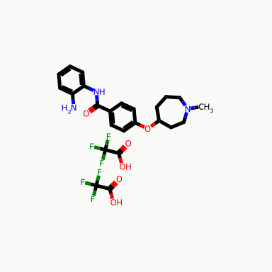 CN1CCCC(Oc2ccc(C(=O)Nc3ccccc3N)cc2)CC1.O=C(O)C(F)(F)F.O=C(O)C(F)(F)F